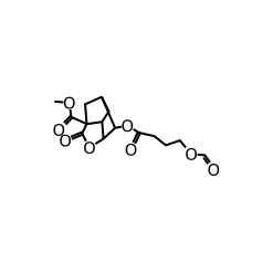 COC(=O)C12CC3CC1C(OC2=O)C3OC(=O)CCCOC=O